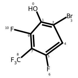 Oc1c(Br)cc(F)c(C(F)(F)F)c1F